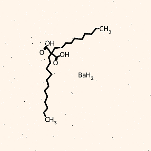 CCCCCCCCCCCCC(CCCCCCCCCC)(C(=O)O)C(=O)O.[BaH2]